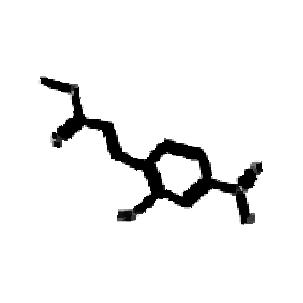 COC(=O)C=Cc1ccc([N+](=O)[O-])cc1O